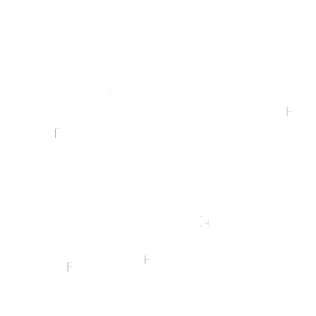 Fc1c(F)c(F)c2c(Br)c3c(F)c(F)c(F)c(F)c3c(F)c2c1F